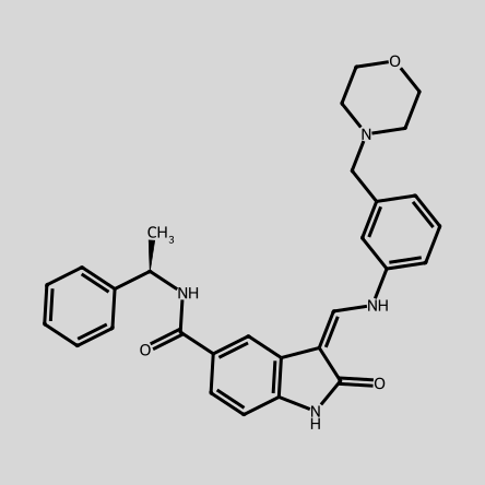 C[C@@H](NC(=O)c1ccc2c(c1)/C(=C/Nc1cccc(CN3CCOCC3)c1)C(=O)N2)c1ccccc1